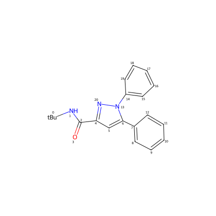 CC(C)(C)NC(=O)c1cc(-c2ccccc2)n(-c2ccccc2)n1